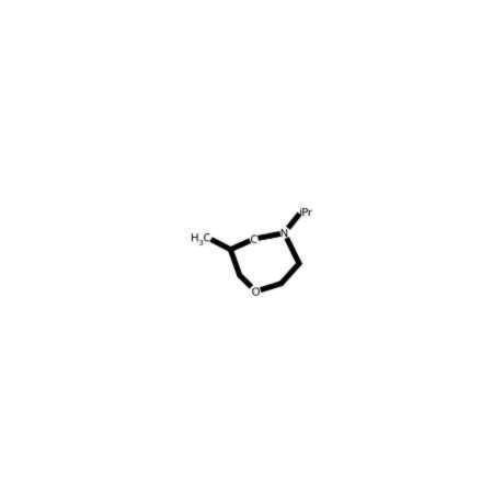 CC1COCCN(C(C)C)C1